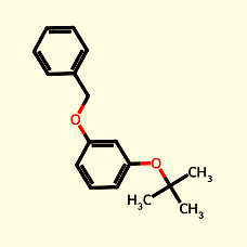 CC(C)(C)Oc1cccc(OCc2ccccc2)c1